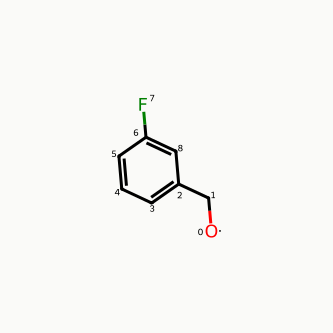 [O]Cc1cccc(F)c1